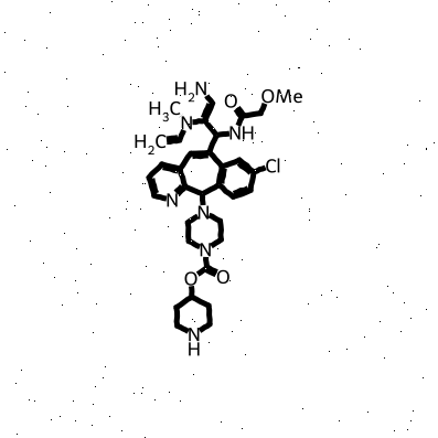 C=CN(C)/C(=C\N)C(NC(=O)COC)C1=Cc2cccnc2C(N2CCN(C(=O)OC3CCNCC3)CC2)c2ccc(Cl)cc21